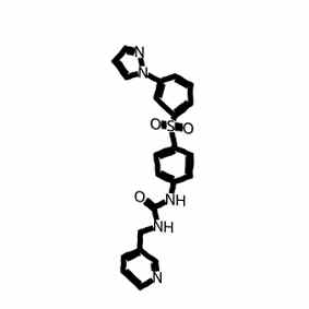 O=C(NCc1cccnc1)Nc1ccc(S(=O)(=O)c2cccc(-n3cccn3)c2)cc1